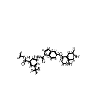 CC(C)NC(=O)c1cc(NC(=O)n2ccc3cc(OC4=NCNC5=C4CC(C)NC5)ccc32)cc(C(F)(F)F)c1